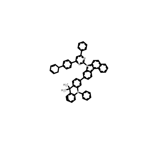 CC1(C)c2c#cccc2N(c2ccccc2)c2cc(-c3ccc4c5c6ccccc6ccc5n(-c5nc(-c6ccccc6)cc(-c6ccc(C7C=CC=CC7)cc6)n5)c4c3)ccc21